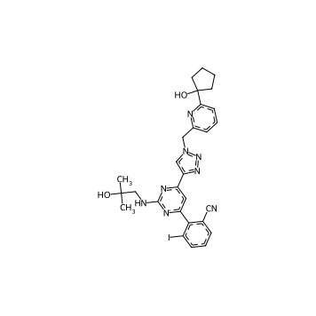 CC(C)(O)CNc1nc(-c2cn(Cc3cccc(C4(O)CCCC4)n3)nn2)cc(-c2c(I)cccc2C#N)n1